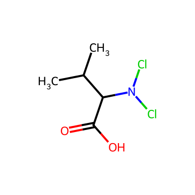 CC(C)C(C(=O)O)N(Cl)Cl